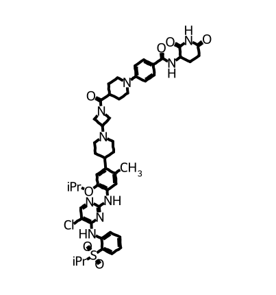 Cc1cc(Nc2ncc(Cl)c(Nc3ccccc3S(=O)(=O)C(C)C)n2)c(OC(C)C)cc1C1CCN(C2CN(C(=O)C3CCN(c4ccc(C(=O)NC5CCC(=O)NC5=O)cc4)CC3)C2)CC1